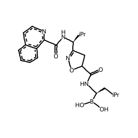 CC(C)C[C@H](NC(=O)C1CC([C@@H](NC(=O)c2nccc3ccccc23)C(C)C)=NO1)B(O)O